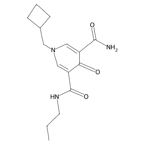 CCCNC(=O)c1cn(CC2CCC2)cc(C(N)=O)c1=O